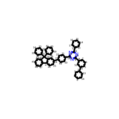 c1ccc(-c2cccc(-c3nc(-c4ccccc4)nc(-c4ccc(-c5ccc6c(c5)C(c5ccccc5)(c5ccccc5)c5ccccc5-6)cc4)n3)c2)cc1